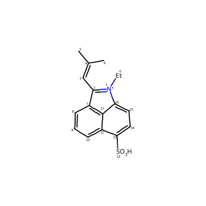 CC[N+]1=C(C=C(C)C)c2cccc3c(S(=O)(=O)O)ccc1c23